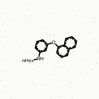 CCCCCCNc1cccc(Oc2cccc3ccccc23)c1